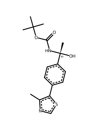 Cc1ncsc1-c1ccc([C@@](C)(O)NC(=O)OC(C)(C)C)cc1